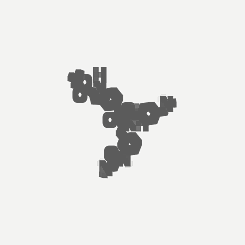 CN(C)CC(=O)N(C)c1cccc(C[C@H](NC(=O)C2CCC(CN(C)C)CC2)C(=O)Nc2ccc3[nH]c(C(=O)OC(C)(C)C)cc3c2)c1